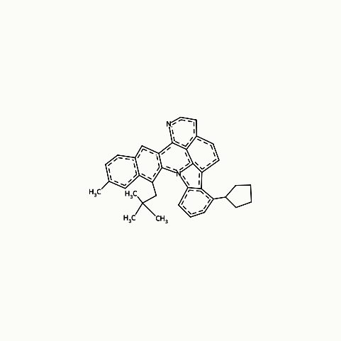 Cc1ccc2cc3c4nccc5ccc6c7c(C8CCCC8)cccc7n(c3c(CC(C)(C)C)c2c1)c6c54